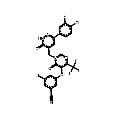 N#Cc1cc(Cl)cc(Oc2c(C(F)(F)F)ncn(Cc3cc(-c4ccc(Cl)c(F)c4)n[nH]c3=O)c2=O)c1